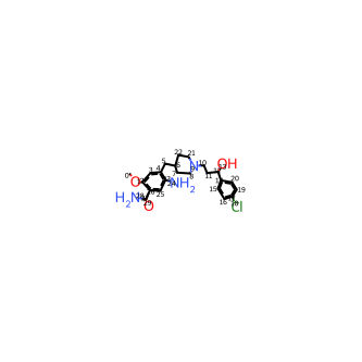 COc1cc(CC2CCN(CCC(O)c3ccc(Cl)cc3)CC2)c(N)cc1C(N)=O